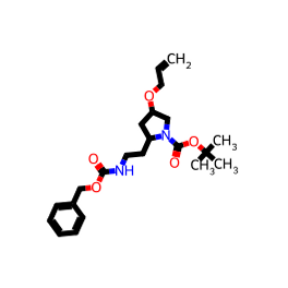 C=CCOC1CC(CCNC(=O)OCc2ccccc2)N(C(=O)OC(C)(C)C)C1